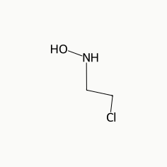 ONCCCl